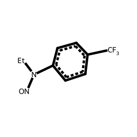 CCN(N=O)c1ccc(C(F)(F)F)cc1